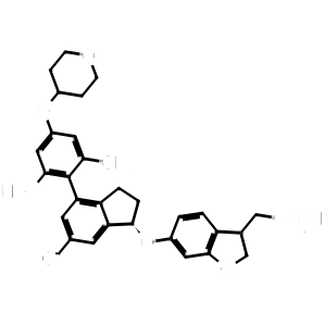 Cc1cc(OC2CCOCC2)cc(C)c1-c1cc(Cl)cc2c1CC[C@H]2Oc1ccc2c(c1)OCC2CC(=O)O